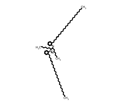 CCCCCCCCCCCCCCCCCCCCCC=CCCCc1ccccc1N=C(CCCCCC)C(CCCCCC)=[N+]([Ni])c1ccccc1CCCC=CCCCCCCCCCCCCCCCCCCCCC